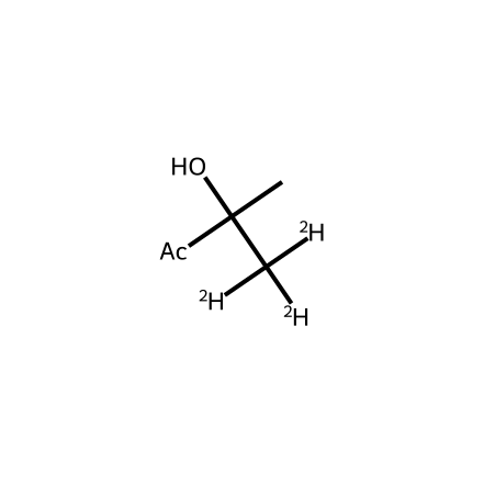 [2H]C([2H])([2H])C(C)(O)C(C)=O